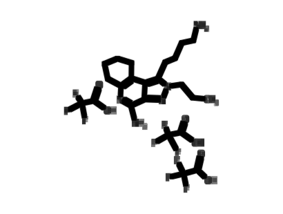 CCCn1nc2c(N)nc3c(c2c1CCCCN)CCCC3.O=C(O)C(F)(F)F.O=C(O)C(F)(F)F.O=C(O)C(F)(F)F